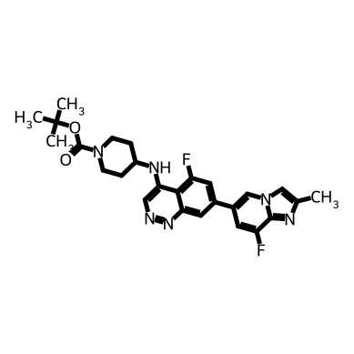 Cc1cn2cc(-c3cc(F)c4c(NC5CCN(C(=O)OC(C)(C)C)CC5)cnnc4c3)cc(F)c2n1